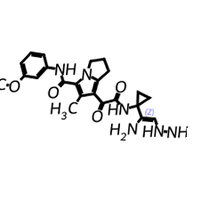 Cc1c(C(=O)C(=O)NC2(/C(N)=C/NN)CC2)c2n(c1C(=O)Nc1cccc(OC(F)(F)F)c1)CCC2